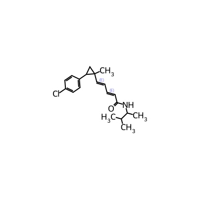 CC(C)C(C)NC(=O)/C=C/C=C/C1(C)CC1c1ccc(Cl)cc1